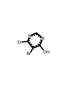 CCc1ncnc(O)c1Br